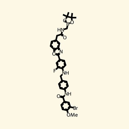 COc1ccc(C(=O)Nc2ccc(CNc3ccc(-c4nc5cc(CC(=O)NCB6OC(C)(C)C(C)(C)O6)ccc5o4)cc3F)cc2)cc1Br